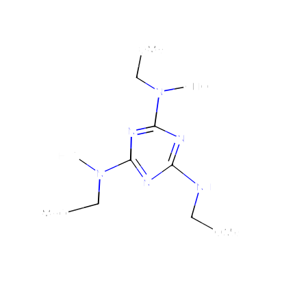 COCNc1nc(N(C)COC)nc(N(C=O)COC)n1